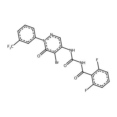 O=C(NC(=O)c1c(F)cccc1F)Nc1cnn(-c2cccc(C(F)(F)F)c2)c(=O)c1Br